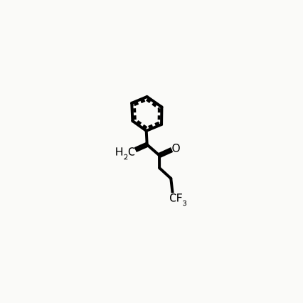 C=C(C(=O)CCC(F)(F)F)c1ccccc1